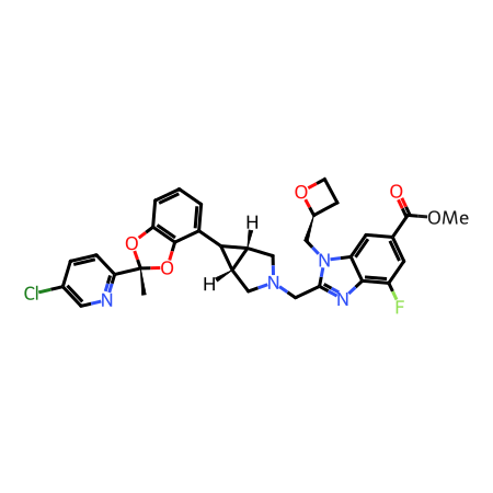 COC(=O)c1cc(F)c2nc(CN3C[C@@H]4C(c5cccc6c5O[C@](C)(c5ccc(Cl)cn5)O6)[C@@H]4C3)n(C[C@@H]3CCO3)c2c1